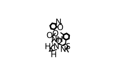 Cc1cccc(-c2sc(C)nc2C(=O)N2C[C@@H]3C[C@@H]3[C@H]2CNC(=O)Oc2cccc3ncoc23)c1